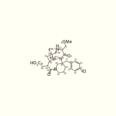 COCC(N)C(=O)N(C)C1(Cc2ccc(Cl)cc2)CCCN(C(=O)C(CC(=O)O)C2CC(F)(F)C2)C1